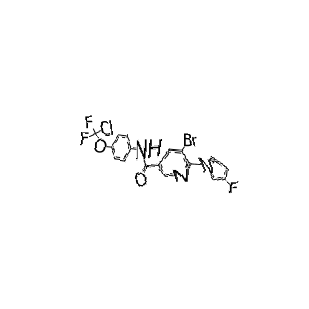 O=C(Nc1ccc(OC(F)(F)Cl)cc1)c1cnc(-n2ccc(F)c2)c(Br)c1